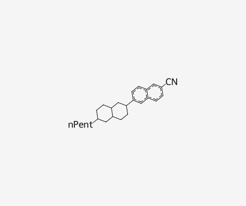 CCCCCC1CCC2CC(c3ccc4cc(C#N)ccc4c3)CCC2C1